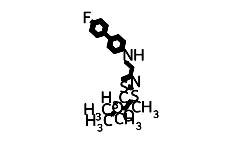 CC(C)(C)OC(=O)C(C)(C)Sc1nc(CCNc2ccc(-c3ccc(F)cc3)cc2)cs1